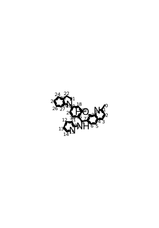 Cc1ccc2ccc(C(Nc3ccccn3)c3ccc(N4CCc5ccccc54)cc3)c(O)c2n1